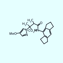 COc1cnn(C(C)(C(=O)O)C(C)C(=O)Nc2c3c(cc4c2CCC4)CCC3)c1